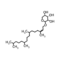 CC(=CCOC1OC[C@@H](O)[C@H](O)[C@H]1O)CCCC(C)CCCC(C)CCCC(C)C